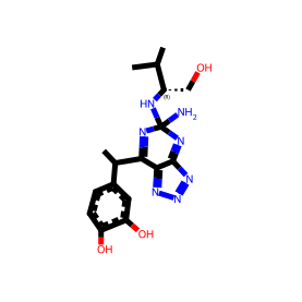 CC(C1=NC(N)(N[C@@H](CO)C(C)C)N=C2N=NN=C21)c1ccc(O)c(O)c1